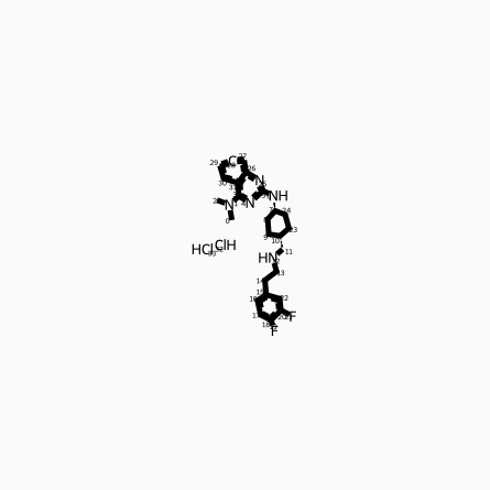 CN(C)c1nc(N[C@H]2CC[C@@H](CNCCc3ccc(F)c(F)c3)CC2)nc2ccccc12.Cl.Cl